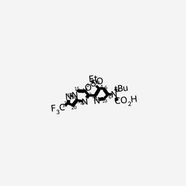 CCS(=O)(=O)c1cc(N(C(=O)O)C(C)(C)C)cnc1-c1ccn2nc(C(F)(F)F)cc2n1